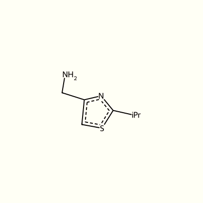 CC(C)c1nc(CN)cs1